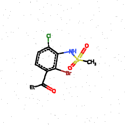 CCC(=O)c1ccc(Cl)c(NS(C)(=O)=O)c1Br